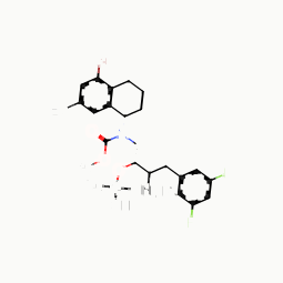 CCc1cc(Br)c2c(c1)[C@@H](N(C[C@@H](O[Si](C)(C)C(C)(C)C)C(Cc1cc(F)cc(F)c1)NC(C)=O)C(=O)OC(C)(C)C)CCC2